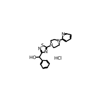 Cl.OC(c1ccccc1)c1nsc(N2CCN(c3ccccn3)CC2)n1